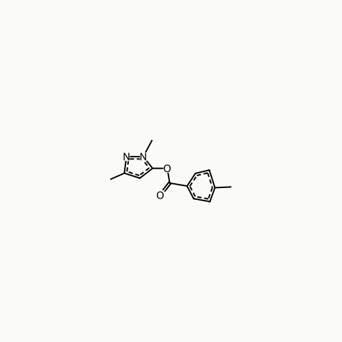 Cc1ccc(C(=O)Oc2cc(C)nn2C)cc1